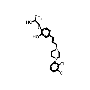 CC(O)COc1ccc(C=CCN2CCN(c3cccc(Cl)c3Cl)CC2)cc1O